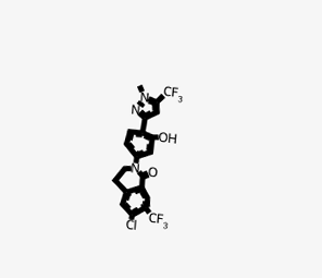 Cn1nc(-c2ccc(N3CCc4cc(Cl)c(C(F)(F)F)cc4C3=O)cc2O)cc1C(F)(F)F